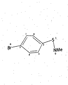 CNSc1ccc(Br)cc1